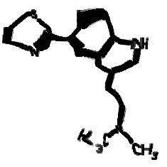 CN(C)CCc1c[nH]c2ccc(-c3nccs3)cc12